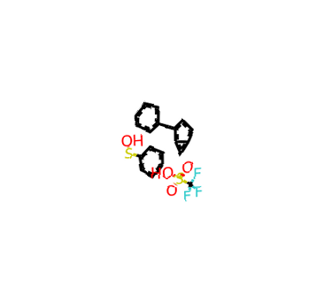 O=S(=O)(O)C(F)(F)F.OSc1ccccc1.c1ccc(-c2ccc3cc2-3)cc1